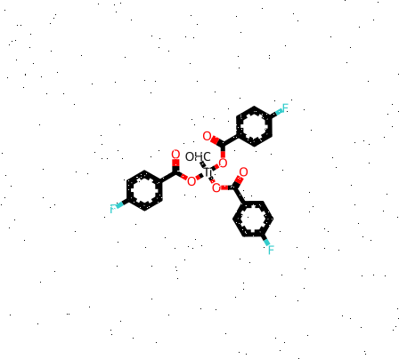 O=[CH][Ti]([O]C(=O)c1ccc(F)cc1)([O]C(=O)c1ccc(F)cc1)[O]C(=O)c1ccc(F)cc1